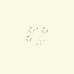 COC(=O)N[C@@H]1[C@H](N)CN(c2ccncc2NC(=O)c2ccc(F)c(-c3c(F)cccc3F)n2)C[C@@H]1C